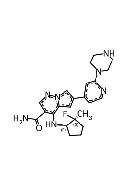 C[C@]1(F)CCC[C@H]1Nc1c(C(N)=O)cnn2cc(-c3ccnc(N4CCNCC4)c3)cc12